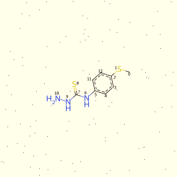 CSc1ccc(NC(=S)NN)cc1